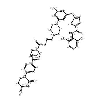 Cc1nc(Nc2ncc(C(=O)Nc3c(C)cccc3Cl)s2)cc(N2CCN(CCCC(=O)N3CC4CCC3CN4c3ccc(C4CCC(=O)NC4=O)cc3)CC2)n1